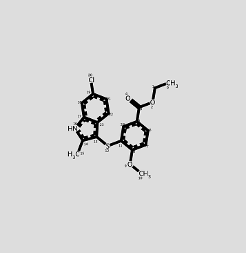 CCOC(=O)c1ccc(OC)c(Sc2c(C)[nH]c3cc(Cl)ccc23)c1